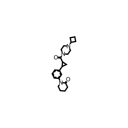 O=C(C1CC1c1cccc(N2CCCCC2=O)c1)N1CCN(C2CCC2)CC1